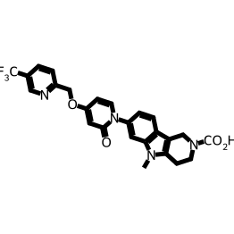 Cn1c2c(c3ccc(-n4ccc(OCc5ccc(C(F)(F)F)cn5)cc4=O)cc31)CN(C(=O)O)CC2